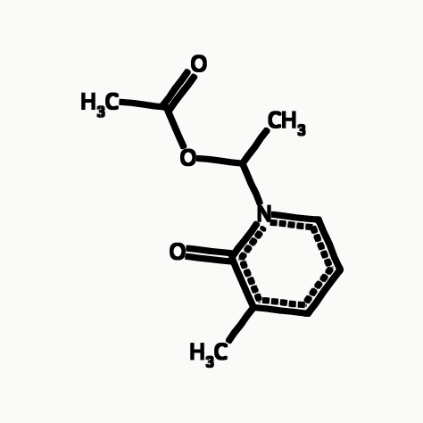 CC(=O)OC(C)n1cccc(C)c1=O